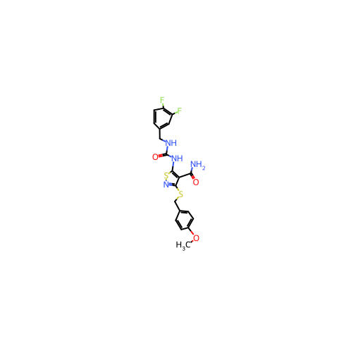 COc1ccc(CSc2nsc(NC(=O)NCc3ccc(F)c(F)c3)c2C(N)=O)cc1